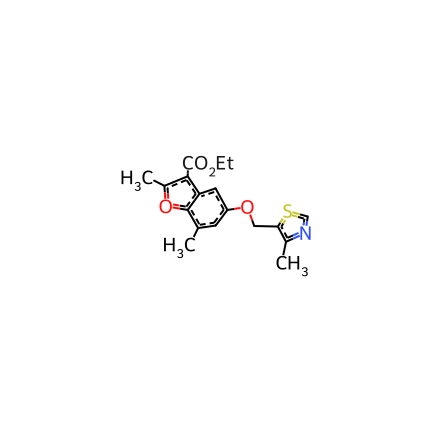 CCOC(=O)c1c(C)oc2c(C)cc(OCc3scnc3C)cc12